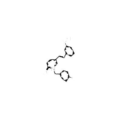 COc1cccc(C=Cc2ccc(=O)n(Cc3ccc(Cl)cc3)c2)c1